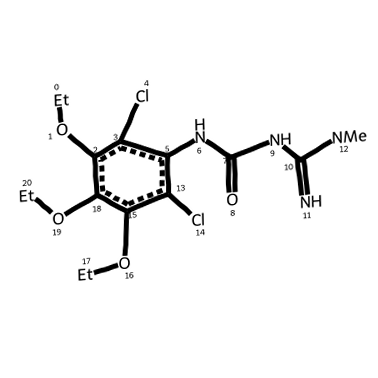 CCOc1c(Cl)c(NC(=O)NC(=N)NC)c(Cl)c(OCC)c1OCC